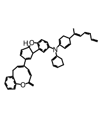 C=C/C=C\C=C(/C)C1C=CC(N(C2=CC=CCC2)c2ccc3c(c2)C2C=C(C4=C/Cc5ccccc5OC(=C)/C=C\4)C=C[C@@H]2O3)=CC1